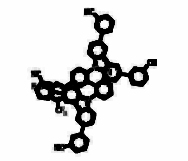 N#Cc1cccc(-c2ccc3c(c2)c2cc(-c4cccc(C#N)c4)ccc2n3-c2ccc(-c3cc(C(F)(F)F)cc(C(F)(F)F)c3)cc2-c2c(C#N)cccc2-n2c3ccc(-c4cccc(C#N)c4)cc3c3cc(-c4cccc(C#N)c4)ccc32)c1